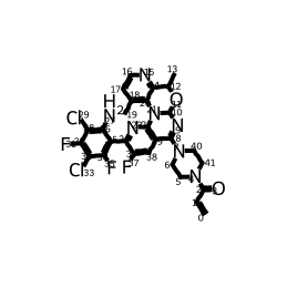 C=CC(=O)N1CCN(C2=NC3OC(C)c4nccc(C)c4N3c3nc(-c4c(N)c(Cl)c(F)c(Cl)c4F)c(F)cc32)CC1